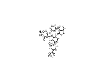 CCc1cc(OC2CCc3cccc(-c4cccc(-n5ncc(C(=O)O)c5CC)n4)c32)ccc1C1CCN(C(=O)OC)CC1